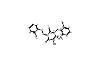 Cc1c(Br)c(=O)n(CCc2ccccc2F)c(=O)n1Cc1c(F)cccc1C(F)(F)F